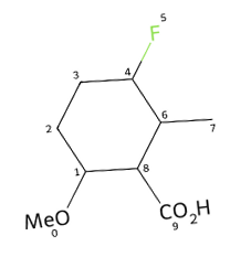 COC1CCC(F)C(C)C1C(=O)O